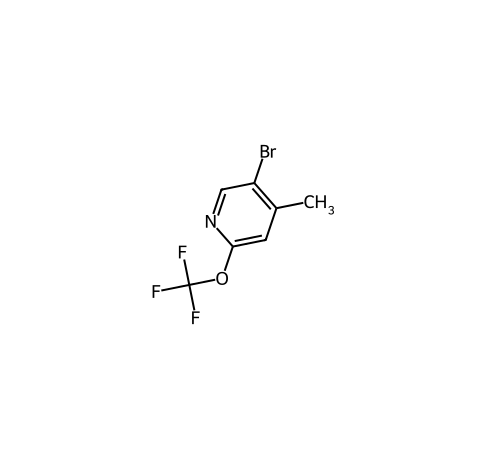 Cc1cc(OC(F)(F)F)ncc1Br